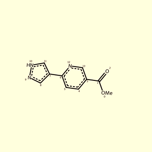 COC(=O)c1ccc(-c2cn[nH]c2)nc1